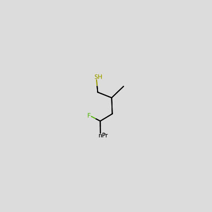 CCCC(F)CC(C)CS